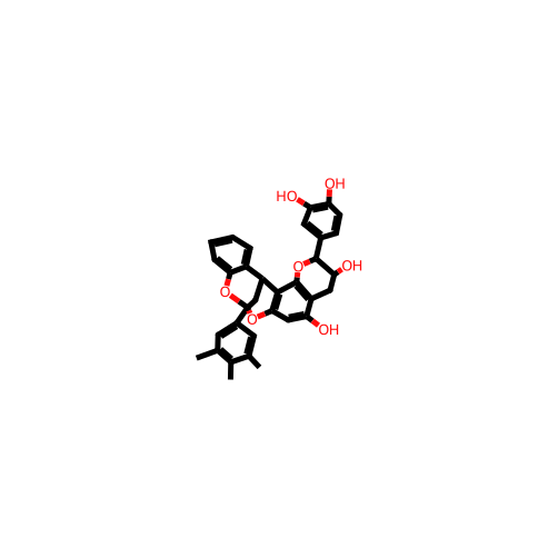 Cc1cc(C23CC(c4ccccc4O2)c2c(cc(O)c4c2OC(c2ccc(O)c(O)c2)C(O)C4)O3)cc(C)c1C